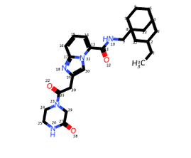 CCC1CC2CCCC(CNC(=O)c3cccc4nc(CC(=O)N5CCNC(=O)C5)cn34)(C1)C2